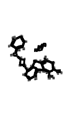 Cc1nnc2sc3c(N4CC(Oc5cccnc5)C4)ncnc3c2c1C.Cl.Cl